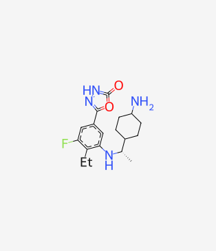 CCc1c(F)cc(-c2n[nH]c(=O)o2)cc1N[C@@H](C)C1CCC(N)CC1